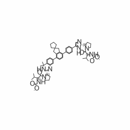 COC(=O)N[C@H](C(=O)N1CCC[C@H]1C1=Nc2cc(-c3ccc(-c4ccc(-c5cnc([C@@H]6CCCN6C(=O)[C@@H](NC(=O)OC)C(C)C)[nH]5)cc4)c4c3CC3(CCCC3)C4)ccc2C(C)(C)N1)C(C)C